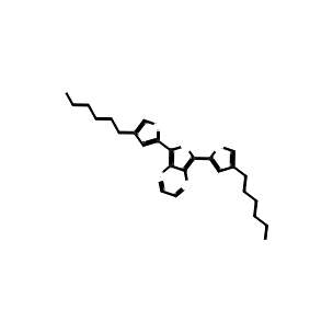 CCCCCCc1csc(-c2sc(-c3cc(CCCCCC)cs3)c3nccnc23)c1